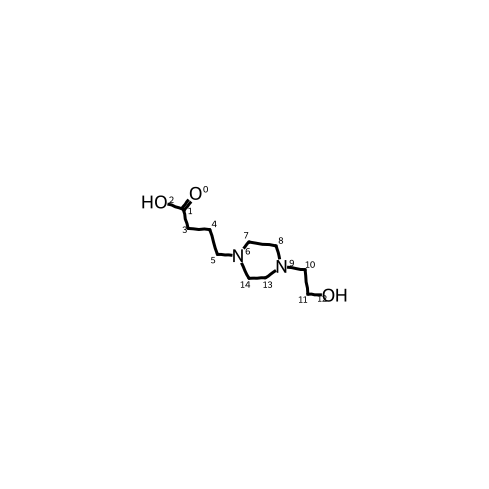 O=C(O)CCCN1CCN(CCO)CC1